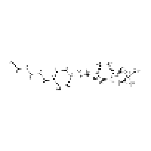 CCCCCC[C@H]1CC[C@H](C#Cc2ccc(OC(F)(F)F)cc2)CC1